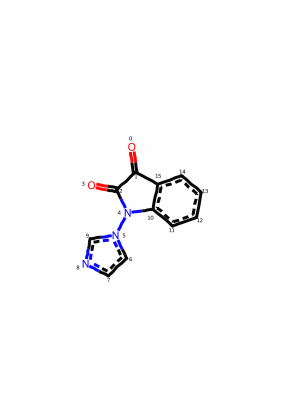 O=C1C(=O)N(n2ccnc2)c2ccccc21